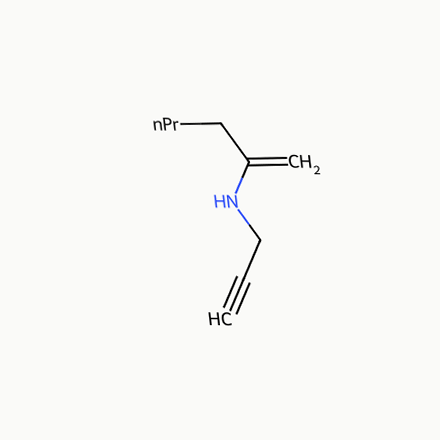 C#CCNC(=C)CCCC